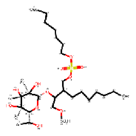 CCCCCCCCCCCCCCCCOS(=O)(=O)OCC(CCCCCCCCCCCCCCCC)C(COS(=O)(=O)O)O[C@@H]1O[C@H](C(O)C(C)=O)[C@](O)(C(C)=O)[C@@](O)(C(C)=O)[C@]1(O)C(C)=O